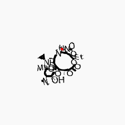 CC[C@H]1OC(=O)C(C)C(=O)[C@H](C)[C@@H](O[C@@H]2O[C@H](CNC3CC3)C[C@H](N(C)C)[C@H]2O)[C@](C)(OC)C[C@@H](C)CN(C)[C@H](C)[C@H]2NC(=O)O[C@@]21C